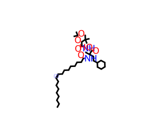 CCCCCCCC/C=C\CCCCCCCC(=O)NC(CCC1CCCCC1)(CNC(=O)C1OC(C)(C)OCC1(C)C)C(=O)O